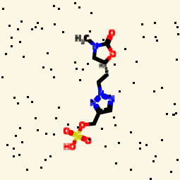 CN1C[C@@H](CCn2ncc(COS(=O)(=O)O)n2)OC1=O